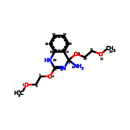 COCCOC1=NC(N)(OCCOC)c2ccccc2N1